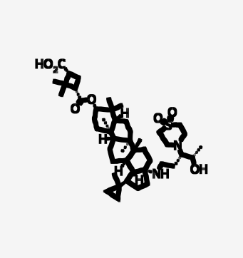 C[C@H](O)[C@H](CCN[C@]12CC[C@@H](C3(C)CC3)[C@@H]1[C@H]1CC[C@@H]3[C@@]4(C)CC[C@H](OC(=O)[C@H]5C[C@@H](C(=O)O)C5(C)C)C(C)(C)[C@@H]4CC[C@@]3(C)[C@]1(C)CC2)N1CCS(=O)(=O)CC1